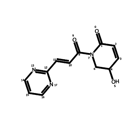 O=C1C=CC(O)CN1C(=O)/C=C/c1ncccn1